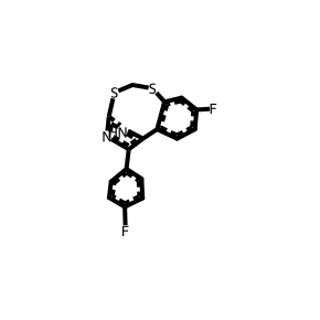 Fc1ccc(-c2nc3[nH]c2-c2ccc(F)cc2SCS3)cc1